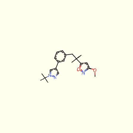 COc1cc(C(C)(C)Cc2cccc(-c3cnn(C(C)(C)C)c3)c2)on1